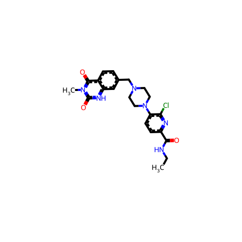 CCNC(=O)c1ccc(N2CCN(Cc3ccc4c(=O)n(C)c(=O)[nH]c4c3)CC2)c(Cl)n1